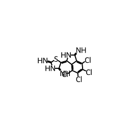 N=C1NC(=N)C(=C2NC(=N)c3c(Cl)c(Cl)c(Cl)c(Cl)c32)S1